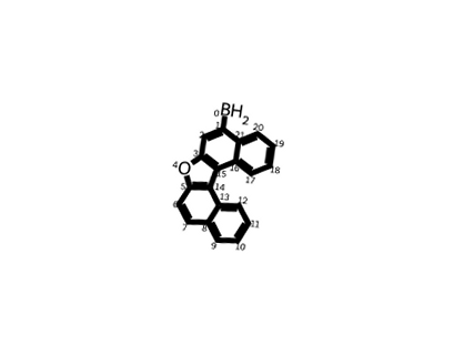 Bc1cc2oc3ccc4ccccc4c3c2c2ccccc12